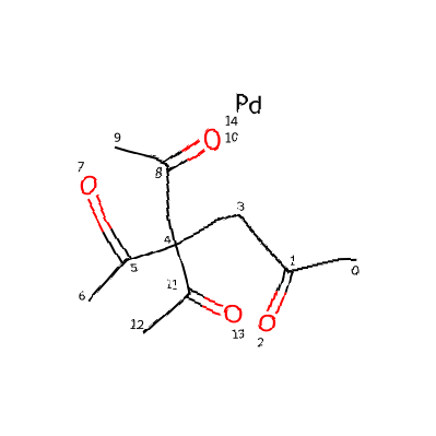 CC(=O)CC(C(C)=O)(C(C)=O)C(C)=O.[Pd]